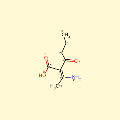 CCCC(=O)C(C(=O)O)=C(C)N